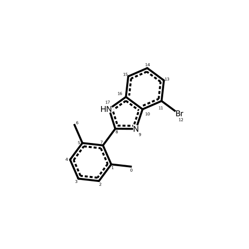 Cc1cccc(C)c1-c1nc2c(Br)cccc2[nH]1